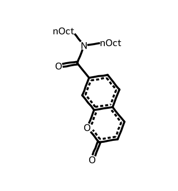 CCCCCCCCN(CCCCCCCC)C(=O)c1ccc2ccc(=O)oc2c1